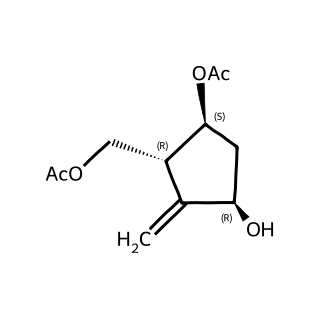 C=C1[C@H](O)C[C@H](OC(C)=O)[C@H]1COC(C)=O